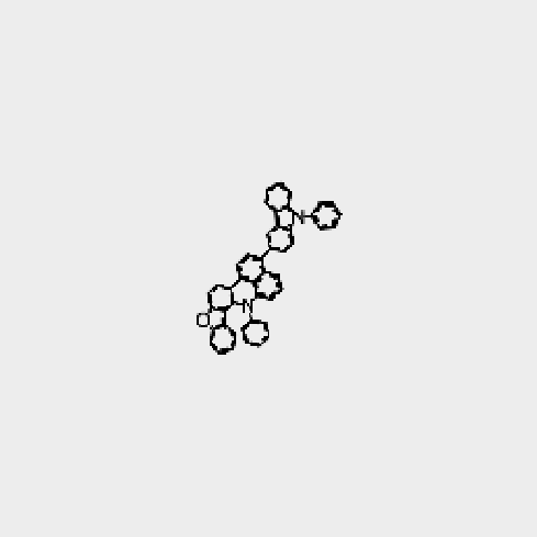 c1ccc(N2c3cccc4c(-c5ccc6c(c5)c5ccccc5n6-c5ccccc5)ccc(c34)-c3ccc4oc5ccccc5c4c32)cc1